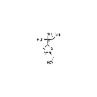 C[C@@](N)(CO)c1cnc(CO)s1